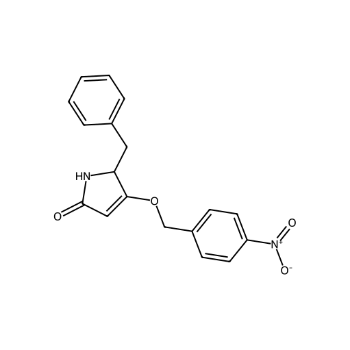 O=C1C=C(OCc2ccc([N+](=O)[O-])cc2)C(Cc2ccccc2)N1